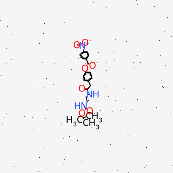 CC(C)(C)OC(=O)NCCNC(=O)Cc1ccc(OC(=O)c2ccc([N+](=O)[O-])cc2)cc1